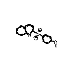 COc1ccc(S(=O)(=O)c2ccc3ccccc3n2)cc1